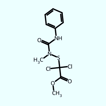 COC(=O)C(Cl)(Cl)SN(C)C(=O)Nc1ccccc1